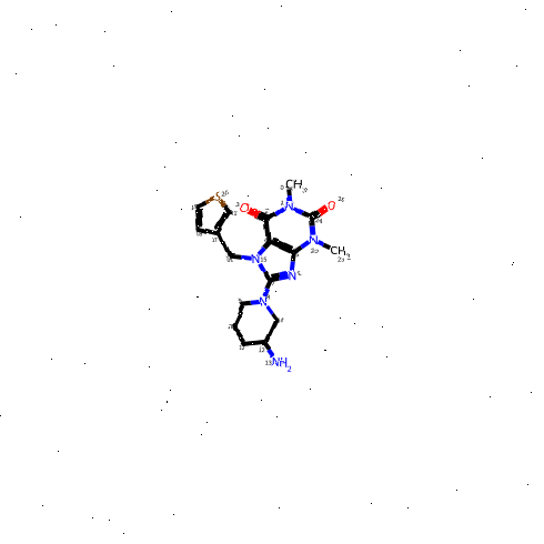 Cn1c(=O)c2c(nc(N3CCCC(N)C3)n2Cc2ccsc2)n(C)c1=O